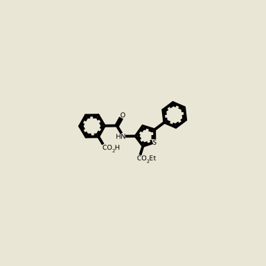 CCOC(=O)c1sc(-c2ccccc2)cc1NC(=O)c1ccccc1C(=O)O